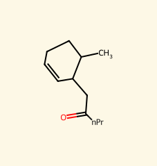 CCCC(=O)CC1C=CCCC1C